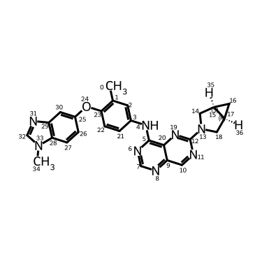 Cc1cc(Nc2ncnc3cnc(N4C[C@H]5C[C@H]5C4)nc23)ccc1Oc1ccc2c(c1)ncn2C